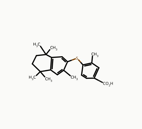 Cc1cc(C(=O)O)ccc1Sc1cc2c(cc1C)C(C)(C)CCC2(C)C